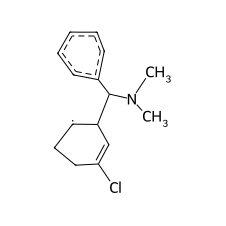 CN(C)C(c1ccccc1)C1[CH]CCC(Cl)=C1